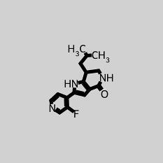 CC(C)CC1CNC(=O)c2cc(-c3ccncc3F)[nH]c21